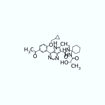 CC(=O)c1ccc(OCC2CC2)c(-c2ncnc3c(C(=O)NC4(NC(=O)[C@H](C)O)CCCCC4)c(C)[nH]c23)c1